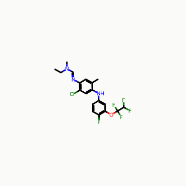 CCN(C)C=Nc1cc(C)c(Nc2ccc(F)c(OC(F)(F)C(F)F)c2)cc1Cl